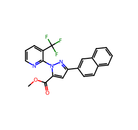 COC(=O)c1cc(-c2ccc3ccccc3c2)nn1-c1ncccc1C(F)(F)F